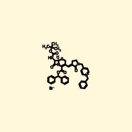 CC(C)(C)OC(=O)N[C@@H]1C(=O)N2C(C(=O)OC(c3ccccc3)c3ccccc3)=C(/C=C3\CCN(Cc4cc[n+](Cc5ccccc5)cc4)C3=O)CS[C@H]12.[Br-]